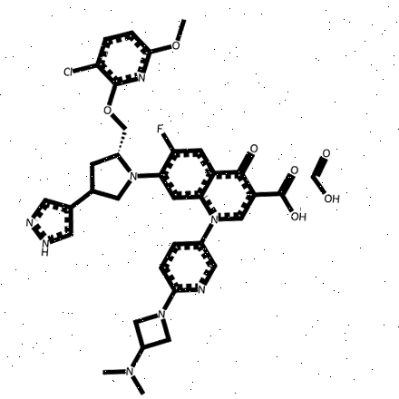 COc1ccc(Cl)c(OC[C@H]2CC(c3cn[nH]c3)CN2c2cc3c(cc2F)c(=O)c(C(=O)O)cn3-c2ccc(N3CC(N(C)C)C3)nc2)n1.O=CO